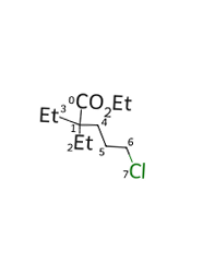 CCOC(=O)C(CC)(CC)CCCCl